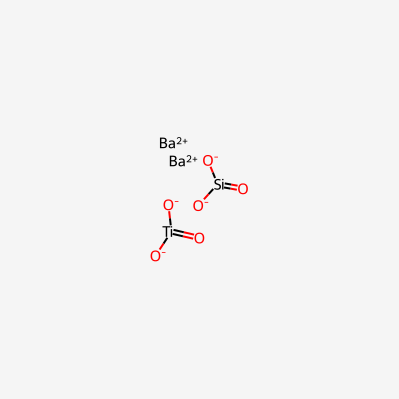 O=[Si]([O-])[O-].[Ba+2].[Ba+2].[O]=[Ti]([O-])[O-]